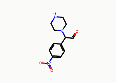 O=CC(c1ccc([N+](=O)[O-])cc1)N1CCNCC1